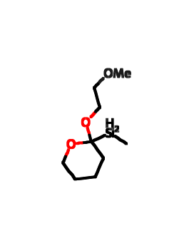 COCCOC1([SiH2]C)CCCCO1